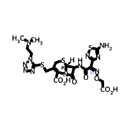 CN(C)CCn1nnnc1SCC1=C(C(=O)O)N2C(=O)C(NC(=O)/C(=N\OCC(=O)O)c3nsc(N)n3)[C@H]2SC1